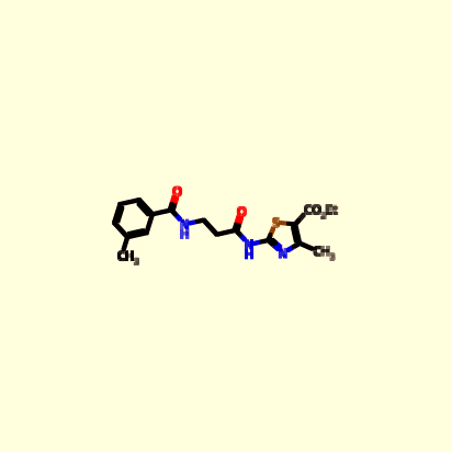 CCOC(=O)c1sc(NC(=O)CCNC(=O)c2cccc(C)c2)nc1C